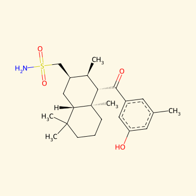 Cc1cc(O)cc(C(=O)[C@H]2[C@H](C)[C@H](CS(N)(=O)=O)C[C@H]3C(C)(C)CCC[C@]23C)c1